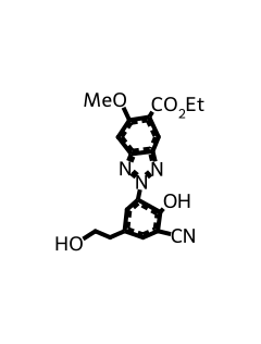 CCOC(=O)c1cc2nn(-c3cc(CCO)cc(C#N)c3O)nc2cc1OC